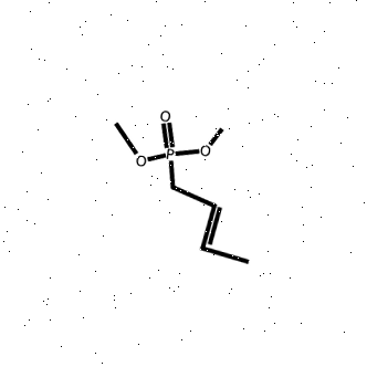 CC=CCP(=O)(OC)OC